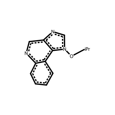 CC(C)On1cnc2cnc3ccccc3c21